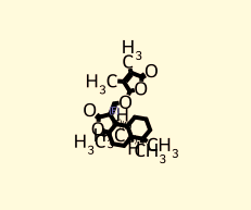 CC1=C(C)C(O/C=C2/C(=O)O[C@]3(C)CC[C@H]4C(C)(C)CCC[C@]4(C)[C@@H]23)OC1=O